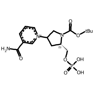 CC(C)(C)OC(=O)N1CC([n+]2cccc(C(N)=O)c2)C[C@H]1COP(=O)(O)O